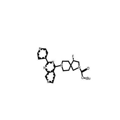 CC(C)(C)OC(=O)N1C[C@H](F)C2(CCN(c3nc(-c4ccncc4)nc4cnccc34)CC2)C1